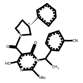 CCCCc1nc(O)c(C(=O)N2CC[C@H](c3ccccc3)C2)c(=O)n1C(C)c1cccc(C#N)c1